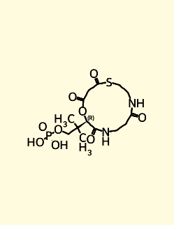 CC(C)(COP(=O)(O)O)[C@H]1OC(=O)CC(=O)SCCNC(=O)CCNC1=O